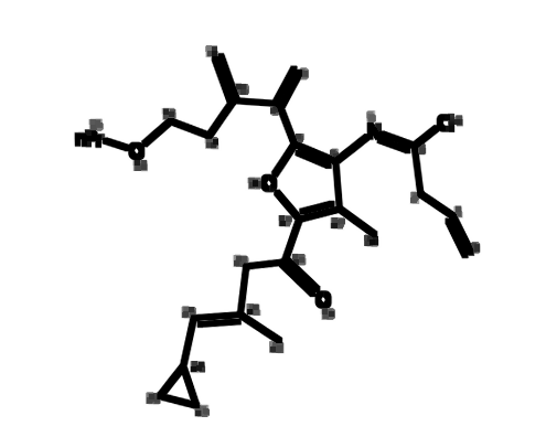 C=CC/C(Cl)=N\c1c(C(=C)C(=C)CCOCCC)oc(C(=O)C/C(C)=C/C2CC2)c1C